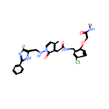 CCNC(=O)COc1ccc(Cl)cc1CNC(=O)Cc1c(C)ccn(NCc2[nH]c(-c3ccccc3)nc2Cl)c1=O